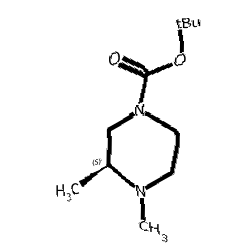 C[C@H]1CN(C(=O)OC(C)(C)C)CCN1C